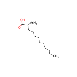 CCCCCCCCCCC([AsH2])C(=O)O